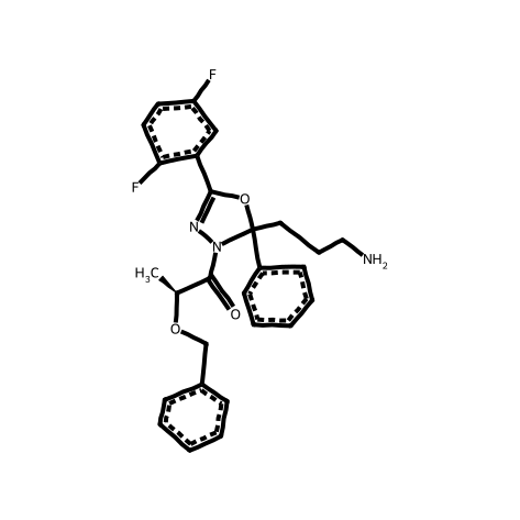 C[C@H](OCc1ccccc1)C(=O)N1N=C(c2cc(F)ccc2F)OC1(CCCN)c1ccccc1